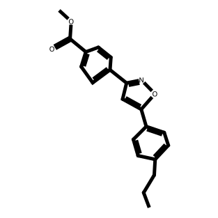 CCCc1ccc(-c2cc(-c3ccc(C(=O)OC)cc3)no2)cc1